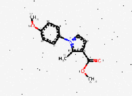 COC(=O)c1ccn(-c2ccc(OC)cc2)c1C